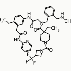 CCc1ccc(NC(=O)CN(Cc2ccccc2CNC)C(=O)C2(CC)CCN(C(=O)N3CC(C(F)(F)F)C3)CC2)cc1CC(=O)Nc1ccccn1